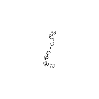 COC(=O)C1CN(Cc2ccc(C#Cc3ccc(-c4cc(Cn5ccnc5C(C)OC5CCCCO5)no4)cc3)cc2)CCO1